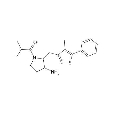 Cc1c(CC2C(N)CCN2C(=O)C(C)C)csc1-c1ccccc1